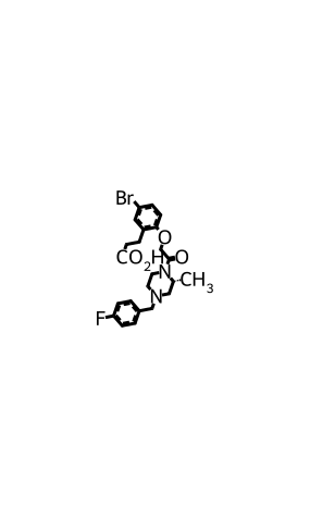 C[C@@H]1CN(Cc2ccc(F)cc2)CCN1C(=O)COc1ccc(Br)cc1CCC(=O)O